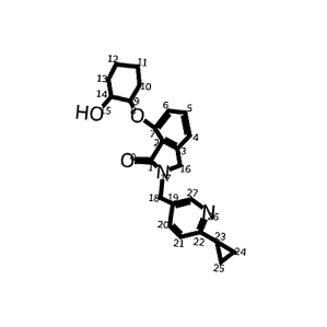 O=C1c2c(cccc2OC2CCCCC2O)CN1Cc1ccc(C2CC2)nc1